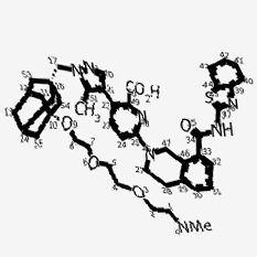 CNCCOCCOCCO[C@]12CC3CC(C[C@@](Cn4ncc(-c5ccc(N6CCc7cccc(C(=O)Nc8nc9ccccc9s8)c7C6)nc5C(=O)O)c4C)(C3)C1)C2